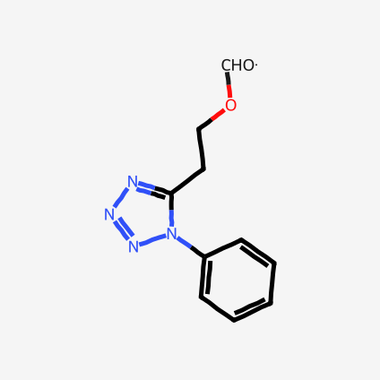 O=[C]OCCc1nnnn1-c1ccccc1